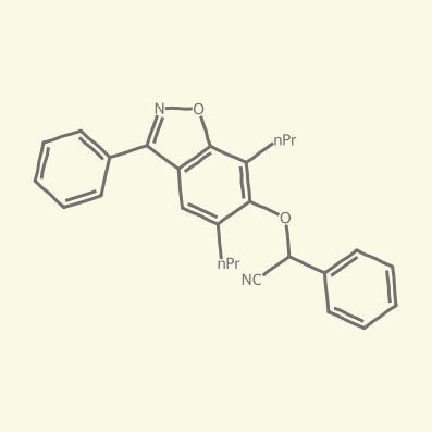 CCCc1cc2c(-c3ccccc3)noc2c(CCC)c1OC(C#N)c1ccccc1